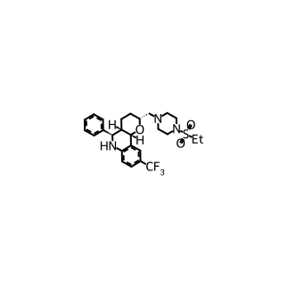 CCS(=O)(=O)N1CCN(C[C@H]2CC[C@@H]3[C@H](O2)c2cc(C(F)(F)F)ccc2N[C@H]3c2ccccc2)CC1